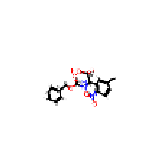 Cc1ccc([N+](=O)[O-])c(C(NC(=O)OCc2ccccc2)C(=O)O)c1